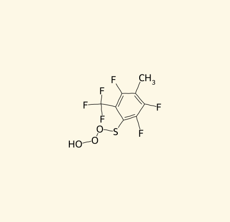 Cc1c(F)c(F)c(SOOO)c(C(F)(F)F)c1F